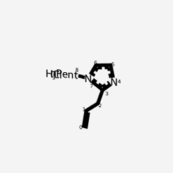 C=CCc1nccn1CCCCC.Cl